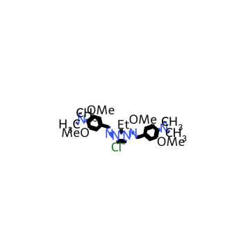 CCc1n(N=Cc2cc(OC)c(N(C)C)c(OC)c2)cc[n+]1N=Cc1cc(OC)c(N(C)C)c(OC)c1.[Cl-]